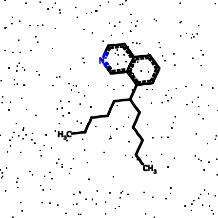 CCCCCC(CCCCC)c1cccc2ccncc12